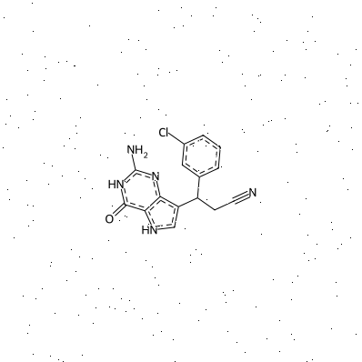 N#CCC(c1cccc(Cl)c1)c1c[nH]c2c(=O)[nH]c(N)nc12